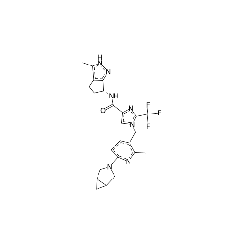 Cc1nc(N2CC3CC3C2)ccc1Cn1cc(C(=O)N[C@@H]2CCc3c2n[nH]c3C)nc1C(F)(F)F